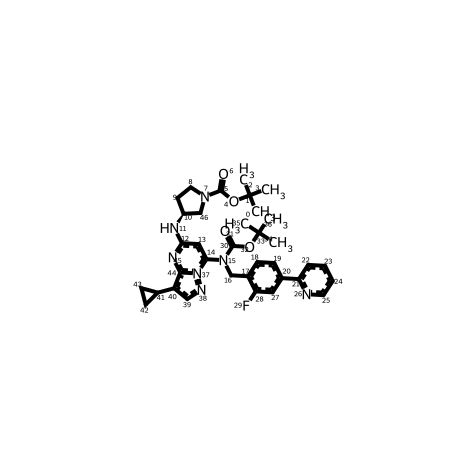 CC(C)(C)OC(=O)N1CC[C@H](Nc2cc(N(Cc3ccc(-c4ccccn4)cc3F)C(=O)OC(C)(C)C)n3ncc(C4CC4)c3n2)C1